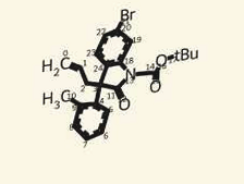 C=CCC1(c2ccccc2C)C(=O)N(C(=O)OC(C)(C)C)c2cc(Br)ccc21